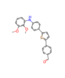 COc1cccc(Nc2ccc(-c3ccc(-c4ccc(C=O)cc4)s3)cc2)c1OC